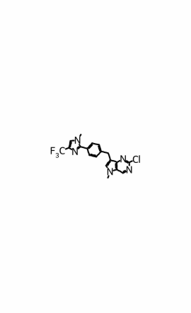 Cn1cc(C(F)(F)F)nc1-c1ccc(Cc2cn(C)c3cnc(Cl)nc23)cc1